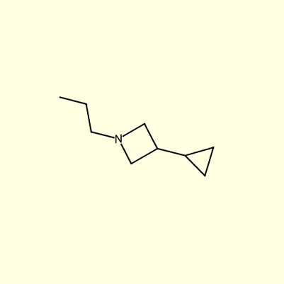 CCCN1CC(C2CC2)C1